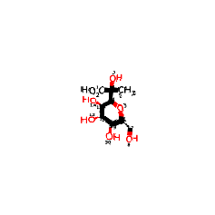 CC(O)(C(=O)O)C1O[C@H](CO)[C@@H](O)[C@H](O)[C@H]1O